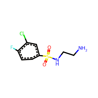 NCCNS(=O)(=O)c1ccc(F)c(Cl)c1